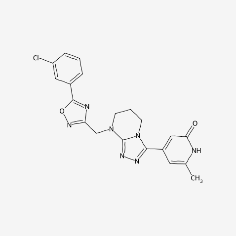 Cc1cc(-c2nnc3n2CCCN3Cc2noc(-c3cccc(Cl)c3)n2)cc(=O)[nH]1